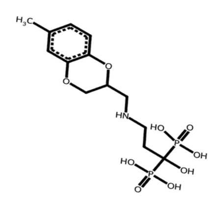 Cc1ccc2c(c1)OCC(CNCCC(O)(P(=O)(O)O)P(=O)(O)O)O2